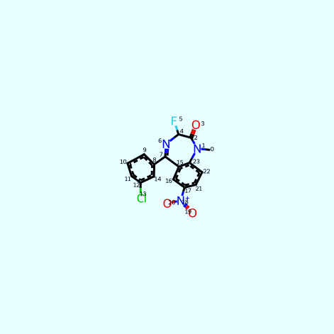 CN1C(=O)C(F)N=C(c2cccc(Cl)c2)c2cc([N+](=O)[O-])ccc21